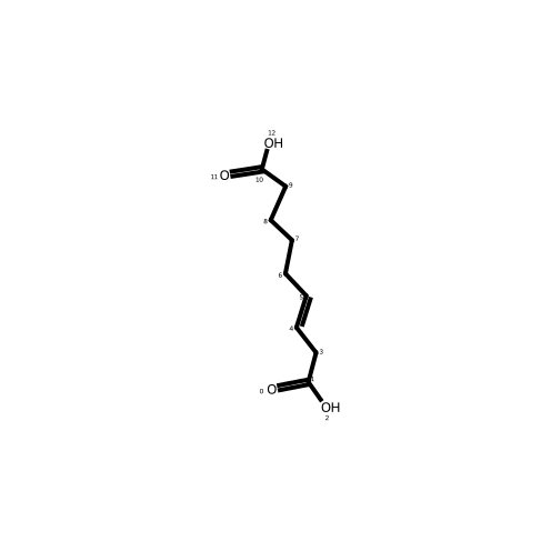 O=C(O)C/C=C/CCCCC(=O)O